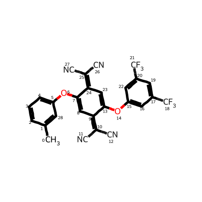 Cc1cccc(Oc2cc(=C(C#N)C#N)c(Oc3cc(C(F)(F)F)cc(C(F)(F)F)c3)cc2=C(C#N)C#N)c1